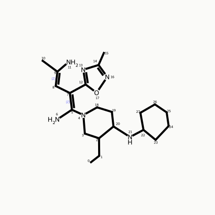 CCC1CN(/C(N)=C(/C=C(/C)N)c2nc(C)no2)CCC1NC1CCCCC1